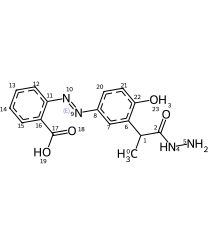 CC(C(=O)NN)c1cc(/N=N/c2ccccc2C(=O)O)ccc1O